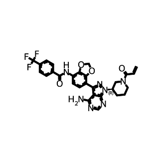 C=CC(=O)N1CCC[C@@H](n2nc(-c3ccc(NC(=O)c4ccc(C(F)(F)F)cc4)c4c3OCO4)c3c(N)ncnc32)C1